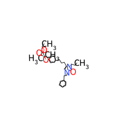 CCCn1c(CCCc2ccc(OC(C)(C)C(=O)OCC)cc2)cn(CCc2ccccc2)c1=O